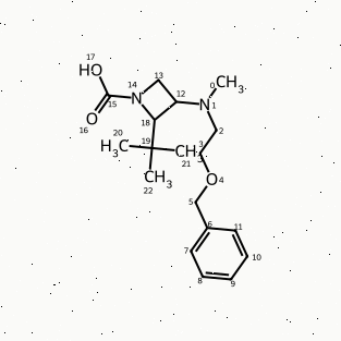 CN(CCOCc1ccccc1)C1CN(C(=O)O)C1C(C)(C)C